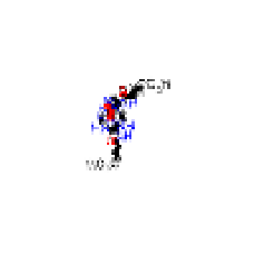 O=C(O)CCCC(=O)N[C@]12CNCCN3C[C@]4(NC(=O)CCCC(=O)O)CN(CCNC1)[C@H]3N4CCN2